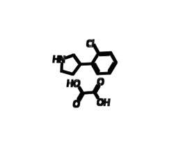 Clc1ccccc1C1CCNC1.O=C(O)C(=O)O